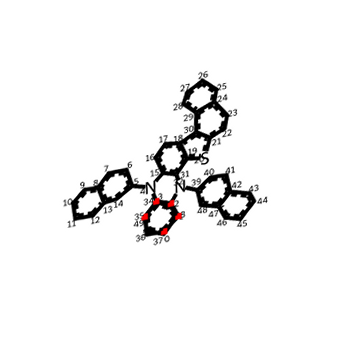 c1ccc(N(c2ccc3ccccc3c2)c2ccc3c(sc4ccc5ccccc5c43)c2N(c2ccccc2)c2ccc3ccccc3c2)cc1